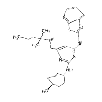 CCCC(C)(C)NCc1cc(Nc2nc3cccnc3s2)nc(N[C@H]2CC[C@H](O)CC2)n1